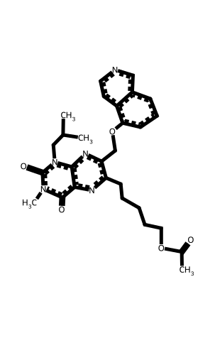 CC(=O)OCCCCCc1nc2c(=O)n(C)c(=O)n(CC(C)C)c2nc1COc1cccc2cnccc12